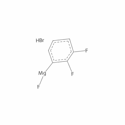 Br.[F][Mg][c]1cccc(F)c1F